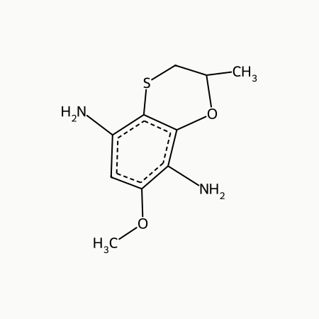 COc1cc(N)c2c(c1N)OC(C)CS2